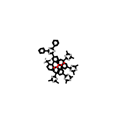 Cc1nc(C)nc(-c2ccc3c(c2)c2cc(-c4nc(C)nc(C)n4)ccc2n3-c2ccc(-c3nc(-c4ccccc4)nc(-c4ccccc4)n3)cc2-c2c(-n3c4ccc(-c5nc(C)nc(C)n5)cc4c4cc(-c5nc(C)nc(C)n5)ccc43)cccc2C(F)(F)F)n1